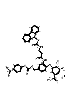 O=C(CCNC(=O)OC1c2ccccc2-c2ccccc21)Nc1cc(COC(=O)Oc2ccc([N+](=O)[O-])cc2)ccc1O[C@@H]1C[C@H](C(=O)O)[C@@H](O)[C@H](O)[C@H]1O